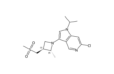 CC(C)n1cc(N2C[C@H](CS(C)(=O)=O)[C@H]2C)c2cnc(Cl)cc21